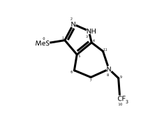 CSc1n[nH]c2c1CCN(CC(F)(F)F)C2